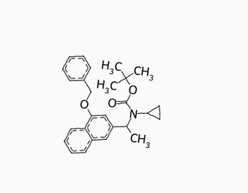 CC(c1cc(OCc2ccccc2)c2ccccc2c1)N(C(=O)OC(C)(C)C)C1CC1